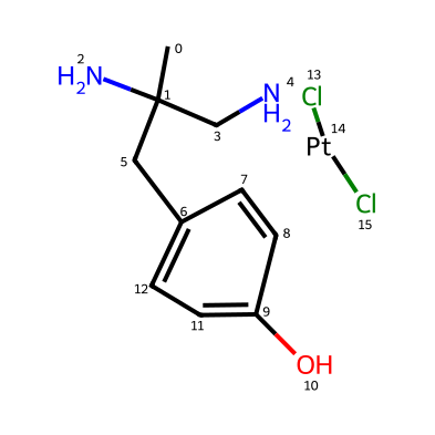 CC(N)(CN)Cc1ccc(O)cc1.[Cl][Pt][Cl]